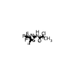 CC(Cl)C(=O)Nc1nc(C(F)(F)F)c(I)s1